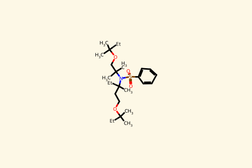 CCC(C)(C)OCCC(C)(CC)N(C(C)(C)COC(C)(C)CC)S(=O)(=O)c1ccccc1